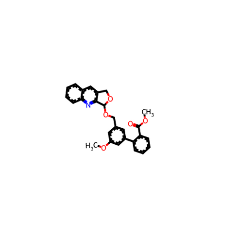 COC(=O)c1ccccc1-c1cc(COC2OCc3cc4ccccc4nc32)cc(OC)c1